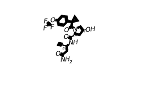 C#C[C@H](CC(N)=O)NC(=O)[C@@H]1C[C@@H](O)CN1C(=O)C1(c2ccc(OC(F)(F)F)cc2)CC1